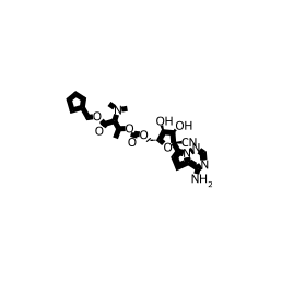 CC(OC(=O)OC[C@H]1O[C@@](C#N)(c2ccc3c(N)ncnn23)[C@H](O)[C@@H]1O)C(C(=O)OCC1CCCC1)N(C)C